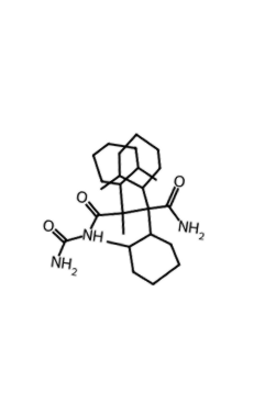 CC1CCCCC1C(C)(C(=O)NC(N)=O)C(C(N)=O)(C1CCCCC1C)C1CCCCC1C